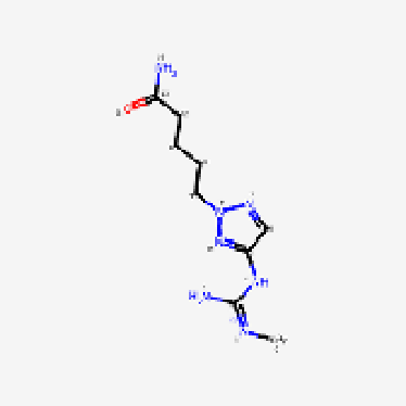 CCC/N=C(/N)Nc1cnn(CCCCC(N)=O)n1